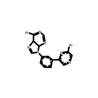 CC(C)C1=NC=NC2C1N=CN2c1cccc(-c2cncc(C(C)C)n2)c1